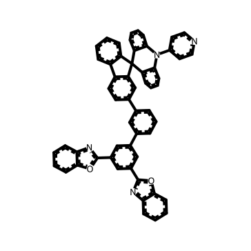 c1cc(-c2cc(-c3nc4ccccc4o3)cc(-c3nc4ccccc4o3)c2)cc(-c2ccc3c(c2)C2(c4ccccc4-3)c3ccccc3N(c3ccncc3)c3ccccc32)c1